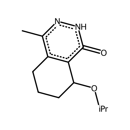 Cc1n[nH]c(=O)c2c1CCCC2OC(C)C